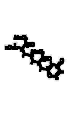 CCCCCCCCCCC(CCCC(Cc1cc(=O)cco1)C(=O)OC)C(=O)OC